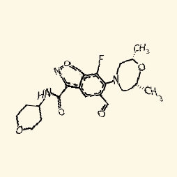 C[C@@H]1CN(c2c(C=O)cc3c(C(=O)NC4CCOCC4)noc3c2F)C[C@H](C)O1